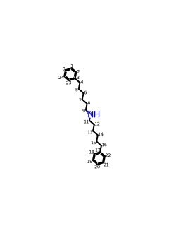 c1ccc(CCCCCCNCCCCCCc2ccccc2)cc1